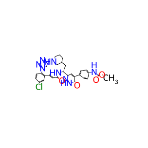 COC(=O)Nc1ccc(-c2cc([C@H](CC3CCCNC3)NC(=O)/C=C/c3cc(Cl)ccc3-n3cnnn3)n[nH]c2=O)cc1